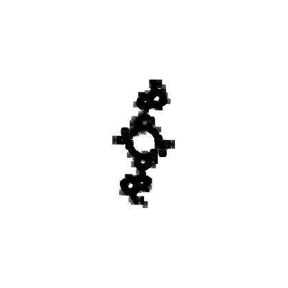 Nc1ncnc2c1ncn2[C@@H]1CC2COP(=O)(O)O[C@@H]3C[C@H](n4cnc5c(N)ncnc54)OC3COP(=O)(O)O[C@@H]2C1